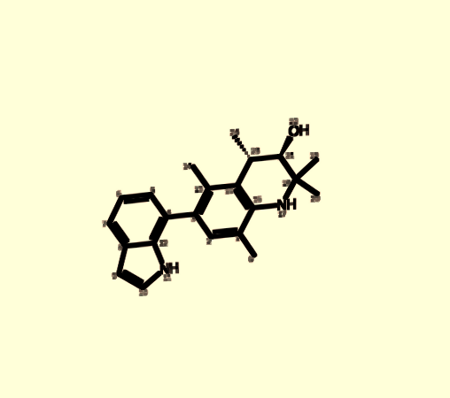 Cc1cc(-c2cccc3cc[nH]c23)c(C)c2c1NC(C)(C)[C@H](O)[C@H]2C